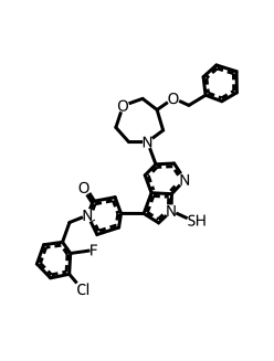 O=c1cc(-c2cn(S)c3ncc(N4CCOCC(OCc5ccccc5)C4)cc23)ccn1Cc1cccc(Cl)c1F